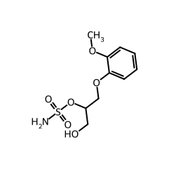 COc1ccccc1OCC(CO)OS(N)(=O)=O